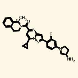 C[C@@H]1c2ccccc2CCN1C(=O)c1cc(C2CC2)n2nc(-c3ccc(N4CCC(N)C4)cc3F)cc2n1